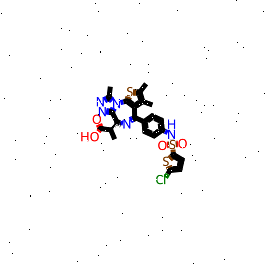 Cc1sc2c(c1C)C(c1ccc(NS(=O)(=O)c3ccc(Cl)s3)cc1)=N[C@@H](C(C)C(=O)O)c1nnc(C)n1-2